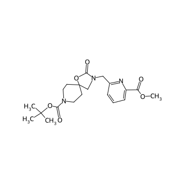 COC(=O)c1cccc(CN2CC3(CCN(C(=O)OC(C)(C)C)CC3)OC2=O)n1